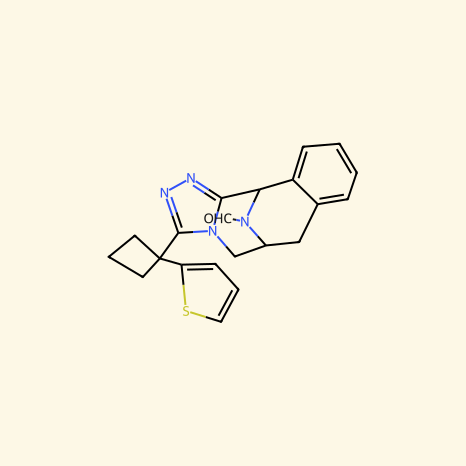 O=CN1C2Cc3ccccc3C1c1nnc(C3(c4cccs4)CCC3)n1C2